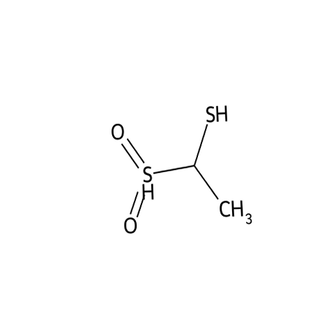 CC(S)[SH](=O)=O